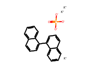 O=P([O-])([O-])[O-].[K+].[K+].[K+].c1ccc2c(-c3cccc4ccccc34)cccc2c1